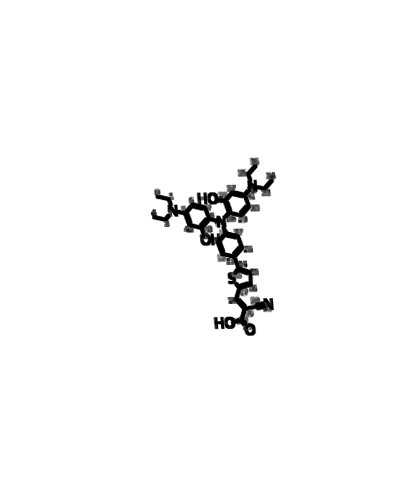 CCN(CC)c1ccc(N(c2ccc(-c3ccc(/C=C(\C#N)C(=O)O)s3)cc2)c2ccc(N(CC)CC)cc2O)c(O)c1